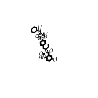 CCC(Cc1ccc(S(=O)(=O)NC(=O)NC2CCCCC2)cc1)n1c(=O)[nH]c2ccc(Cl)cc2c1=O